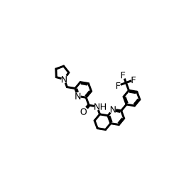 O=C(NC1CCCc2ccc(-c3cccc(C(F)(F)F)c3)nc21)c1cccc(CN2CCCC2)n1